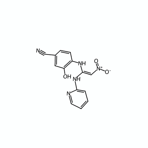 N#Cc1ccc(NC(=C[N+](=O)[O-])Nc2ccccn2)c(O)c1